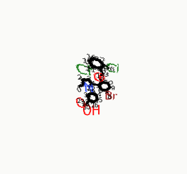 Cc1ccc(-c2cc(Br)ccc2OCc2c(Cl)cccc2Cl)n1-c1cccc(C(=O)O)c1